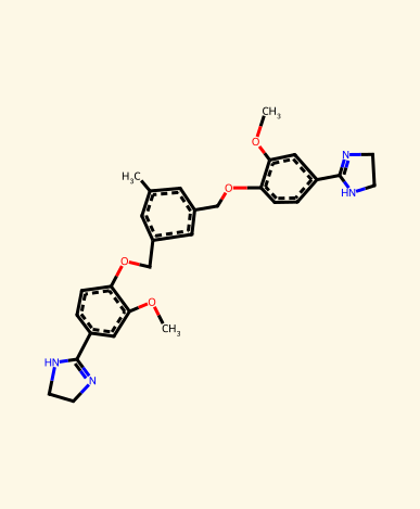 COc1cc(C2=NCCN2)ccc1OCc1cc(C)cc(COc2ccc(C3=NCCN3)cc2OC)c1